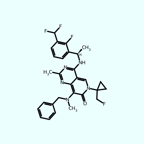 Cc1nc(N[C@H](C)c2cccc(C(F)F)c2F)c2cn(C3(CF)CC3)c(=O)c(N(C)Cc3ccccc3)c2n1